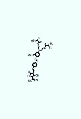 CCCCC(CC)C(=O)OCCN(CCOC(=O)C(CC)CCCC)c1ccc(/N=N/c2ccc(/C=C/C3=C(C#N)C(=C(C#N)C#N)NC3=O)cc2)c(OC)c1